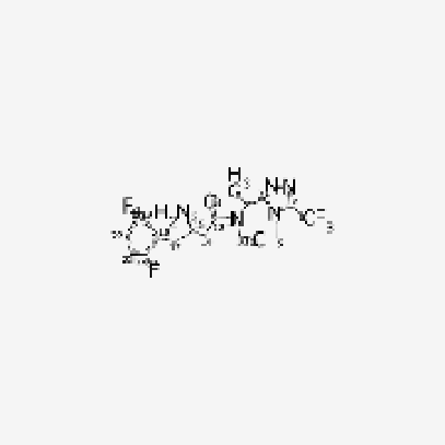 CC1c2nnc(C(F)(F)F)n2CCCN1C(=O)C[C@H](N)Cc1cc(F)ccc1F